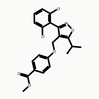 COC(=O)c1ccc(OCc2c(-c3c(Cl)cccc3Cl)noc2C(C)C)cc1